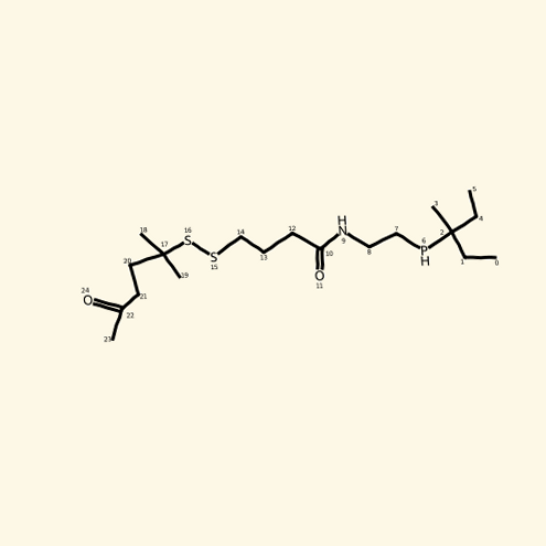 CCC(C)(CC)PCCNC(=O)CCCSSC(C)(C)CCC(C)=O